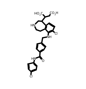 O=C(O)CC(C(=O)O)C1CNCCc2c1ccc(Cl)c2NCc1ccc(C(=O)Nc2ccc(Cl)cc2)cc1